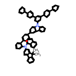 CC1(C)c2ccccc2-c2ccc(N(c3ccccc3-c3ccc(-c4ccc5c(c4)c4ccccc4n5-c4cc(-c5ccc(-c6ccccc6)cc5)cc(-c5ccc(-c6ccccc6)cc5)c4)cc3)c3cccc4ccccc34)cc21